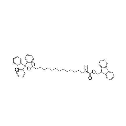 O=C(CCCCCCCCCCCCCNC(=O)OCC1c2ccccc2-c2ccccc21)OC(c1ccccc1)(c1ccccc1)c1ccccc1Cl